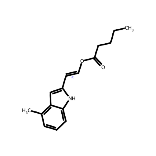 CCCCC(=O)O/C=C/c1cc2c(C)cccc2[nH]1